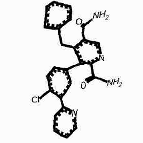 NC(=O)c1cnc(C(N)=O)c(-c2ccc(Cl)c(-c3ccccn3)c2)c1Cc1ccccc1